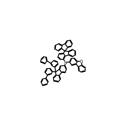 c1ccc(-c2cccc(C3(c4cccc(-c5ccccc5)c4)c4ccccc4-c4ccc(N(c5ccc6oc7ccccc7c6c5)c5cccc6c5-c5ccccc5C65c6ccccc6-c6ccccc65)cc43)c2)cc1